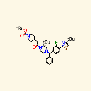 CC(C)(C)OC(=O)N1CCC(CC(=O)N2CCN(C(c3ccccc3)c3ccc(-c4nc(C(C)(C)C)cs4)c(F)c3)C[C@@H]2C(C)(C)C)CC1